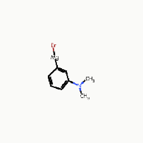 CN(C)c1ccc[c]([Mg][Br])c1